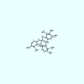 CCCc1ccc(OP(=O)(Oc2ccc(CCC)c(CCC)c2CCC)Oc2ccc(CCC)c(CCC)c2CCC)c(CCC)c1CCC